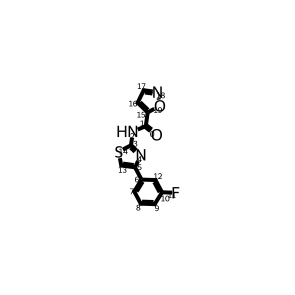 O=C(Nc1nc(-c2cccc(F)c2)cs1)c1ccno1